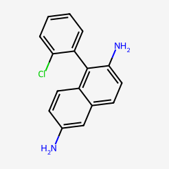 Nc1ccc2c(-c3ccccc3Cl)c(N)ccc2c1